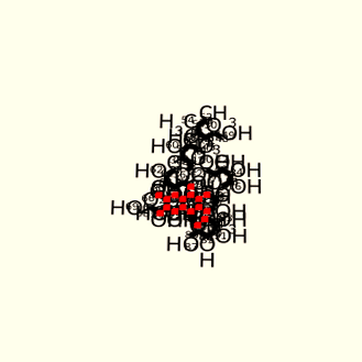 CC1C(O)[C@H](O[C@@H]2OC(CO)[C@H](O)C(O)[C@@H]2O)[C@H](CO)O[C@H]1O[C@@H]1C(O)[C@H](O)C(CO)O[C@@H]1OCC1O[C@@H](O[C@@H]2C(CO)O[C@@H](O[C@@H]3C(CO)O[C@@H](C)C(C)[C@H]3O)[C@@H](C)C2O)C(O)[C@@H](O[C@H]2O[C@H](CO)[C@@H](O)C(O)C2O[C@@H]2OC(CO)[C@@H](O[C@@H]3OC(CO)[C@H](O)C(O)[C@@H]3O)C(O)[C@@H]2C)[C@@H]1O